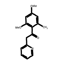 COc1cc(C)c(C(=O)Cc2ccccn2)c(OC)c1